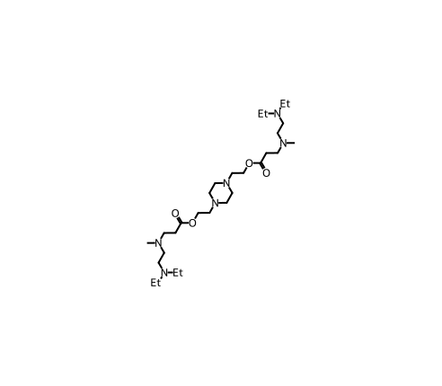 CCN(CC)CCN(C)CCC(=O)OCCN1CCN(CCOC(=O)CCN(C)CCN(CC)CC)CC1